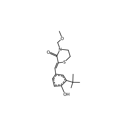 COCN1CCS/C(=C\c2ccc(O)c(C(C)(C)C)c2)C1=O